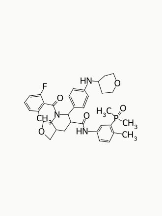 Cc1ccc(NC(=O)C2CC3COCC3N(C(=O)c3c(C)cccc3F)C2c2ccc(NC3CCOCC3)cc2)cc1P(C)(C)=O